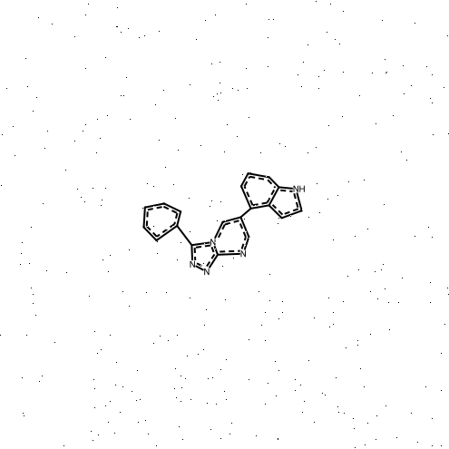 c1ccc(-c2nnc3ncc(-c4cccc5[nH]ccc45)cn23)cc1